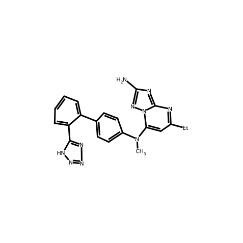 CCc1cc(N(C)c2ccc(-c3ccccc3-c3nnn[nH]3)cc2)n2nc(N)nc2n1